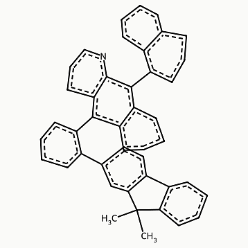 CC1(C)c2ccccc2-c2ccc(-c3ccccc3-c3c4ccccc4c(-c4cccc5ccccc45)c4ncccc34)cc21